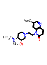 COc1cnc2ccc(=O)n(CCN3CC[C@@H](N(C(=O)O)C(C)(C)C)[C@H](O)C3)c2c1